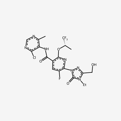 CCn1c(CO)nn(-c2nc(O[C@@H](C)C(F)(F)F)c(C(=O)Nc3c(C)ncnc3Cl)cc2F)c1=O